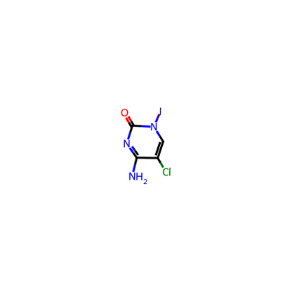 Nc1nc(=O)n(I)cc1Cl